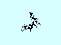 C=N/C(=C\n1c(C)nnc1C(F)(F)OC1CC1)c1cnc(O[C@H](C)C(F)(F)F)c(F)c1